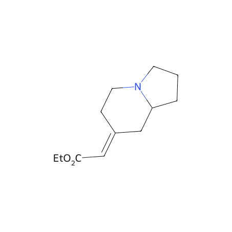 CCOC(=O)C=C1CCN2CCCC2C1